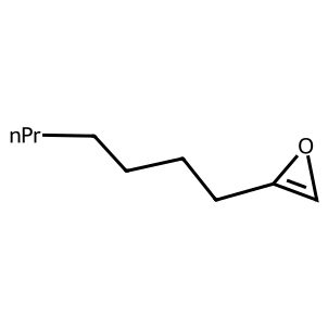 CCCCCCCC1=CO1